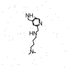 CN(C)CCCCNCc1cc(CN)ccn1